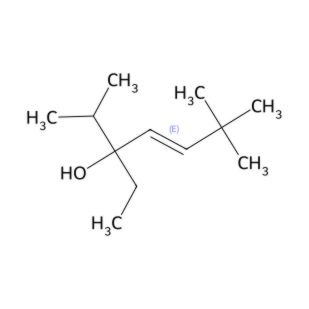 CCC(O)(/C=C/C(C)(C)C)C(C)C